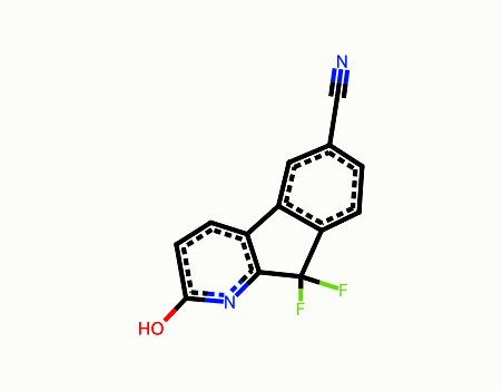 N#Cc1ccc2c(c1)-c1ccc(O)nc1C2(F)F